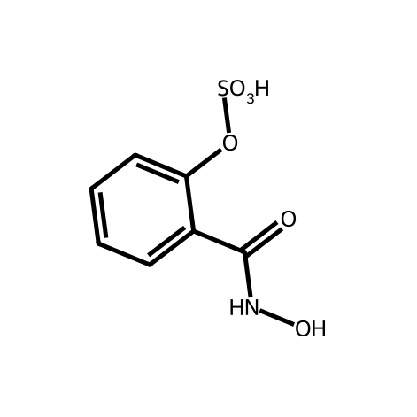 O=C(NO)c1ccccc1OS(=O)(=O)O